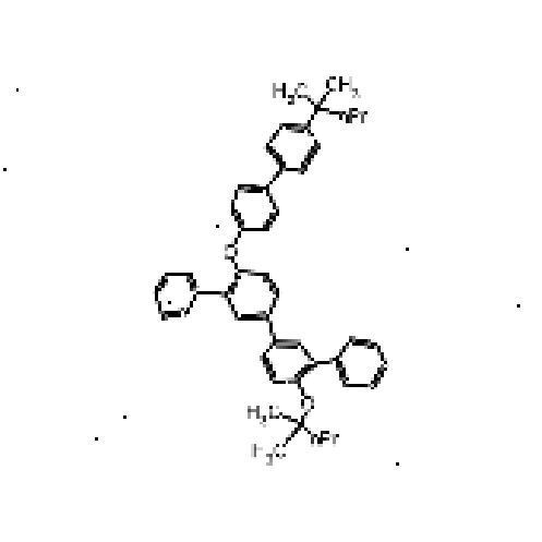 CCCC(C)(C)Oc1ccc(-c2ccc(Oc3ccc(-c4ccc(C(C)(C)CCC)cc4)cc3)c(-c3ccccc3)c2)cc1-c1ccccc1